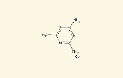 Nc1nc(N)nc(N)n1.[Cu]